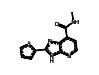 CNC(=O)c1ccnc2[nH]c(-c3cccs3)nc12